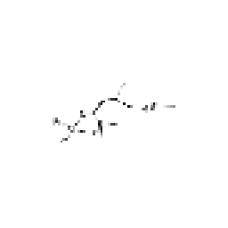 C=C(C)[C@H](C[C@H](C)CC#CC)O[Si](C(C)C)(C(C)C)C(C)C